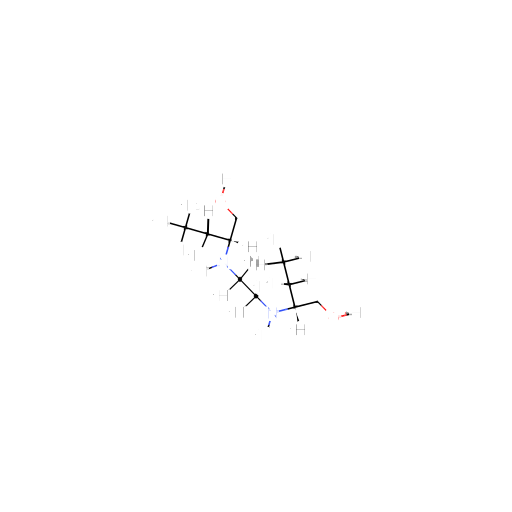 [2H]OC[C@]([2H])(N([2H])C([2H])([2H])C([2H])([2H])N([2H])[C@@]([2H])(CO[2H])C([2H])([2H])C([2H])([2H])[2H])C([2H])([2H])C([2H])([2H])[2H]